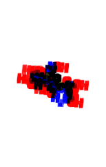 COc1nc(C(SC[C@H](NC(=O)CC[C@@H](N)C(=O)O)C(=O)NCC(=O)O)C2CCCC(C(SC[C@H](NC(=O)CC[C@H](N)C(=O)O)C(=O)NCC(=O)O)c3cc(O)nc(C)n3)C2=O)ncc1O